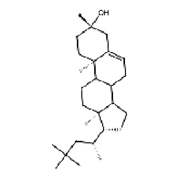 C[C@H](CC(C)(C)C)[C@H]1CCC2C3CC=C4C[C@@](C)(O)CC[C@]4(C)C3CC[C@@]21C